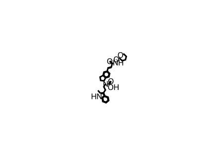 Cc1[nH]c2ccccc2c1CCN(C(=O)O)C1CCc2cc(C=CC(=O)NOC3CCCCO3)ccc21